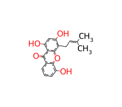 CC(C)=CCc1c(O)cc(O)c2c(=O)c3cccc(O)c3oc12